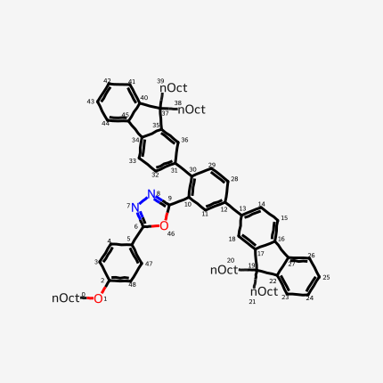 CCCCCCCCOc1ccc(-c2nnc(-c3cc(-c4ccc5c(c4)C(CCCCCCCC)(CCCCCCCC)c4ccccc4-5)ccc3-c3ccc4c(c3)C(CCCCCCCC)(CCCCCCCC)c3ccccc3-4)o2)cc1